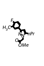 CCCc1cc(-c2ccc(F)c(C)c2)nn1CC(=O)OC